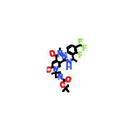 C[C@@H](Nc1nn(C)c(=O)c2cc(=O)n(C3(C)CN(C(=O)OC(C)(C)C)C3)cc12)c1cccc(C(F)F)c1F